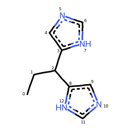 CCC(c1cnc[nH]1)c1cnc[nH]1